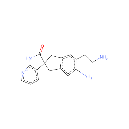 NCCc1cc2c(cc1N)CC1(C2)C(=O)Nc2ncccc21